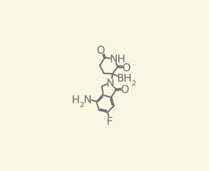 BC1(N2Cc3c(N)cc(F)cc3C2=O)CCC(=O)NC1=O